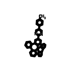 Cc1ccc(-c2cnc(-c3ccc4c(c3)-c3ccccc3-c3ccccc3C43c4ccccc4-c4ccccc43)nc2)cc1